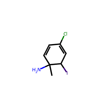 CC1(N)C=CC(Cl)=CC1I